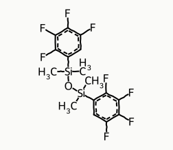 C[Si](C)(O[Si](C)(C)c1cc(F)c(F)c(F)c1F)c1cc(F)c(F)c(F)c1F